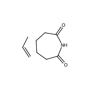 C=CC.O=C1CCCCC(=O)N1